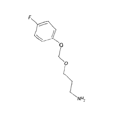 NCCCOCOc1ccc(F)cc1